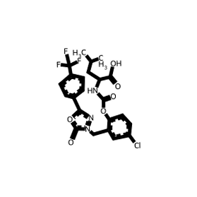 CC(C)CC(NC(=O)Oc1ccc(Cl)cc1Cn1nc(-c2ccc(C(F)(F)F)cc2)oc1=O)C(=O)O